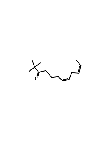 C/C=C\C/C=C\CCCC(=O)C(C)(C)C